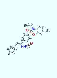 CCc1ccc(N(CC(C)C)S(=O)(=O)c2ccc(CCC3C4CCCC43)c(S(C)(=N)=O)c2)cc1